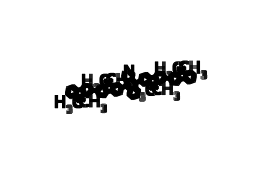 CC1(C)C2=C(CCC(c3ccc4c(c3)C(C)(C)c3cc(-c5c6ccccc6c(-c6ccc7c(c6)C(C)(C)c6cc(-c8ccc9c(c8)C(C)(C)c8ccccc8-9)ccc6-7)c6cnccc56)ccc3-4)=C2)c2ccccc21